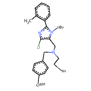 CCCCn1c(-c2ccccc2C)nc(Cl)c1CN(CCC(C)C)Cc1ccc(OC)cc1